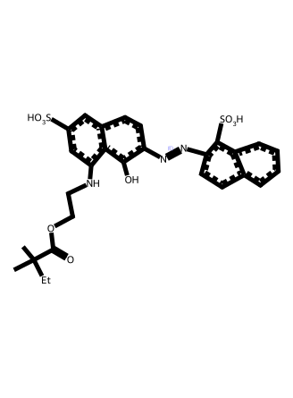 CCC(C)(C)C(=O)OCCNc1cc(S(=O)(=O)O)cc2ccc(/N=N/c3ccc4ccccc4c3S(=O)(=O)O)c(O)c12